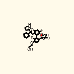 O=c1[nH]nc(-c2ccc(OCCO)c(F)c2-c2c(Cl)c(F)cc3c2CC(c2ccccc2)(C2CCCN2)O3)o1